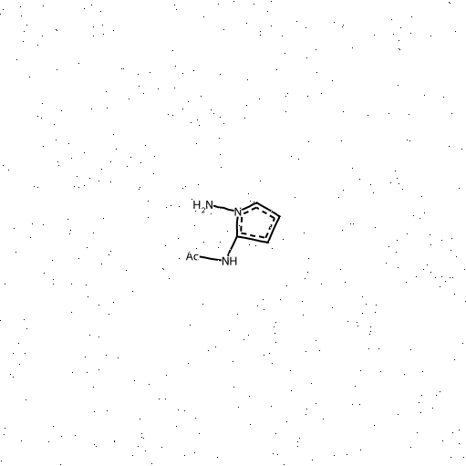 CC(=O)Nc1cccn1N